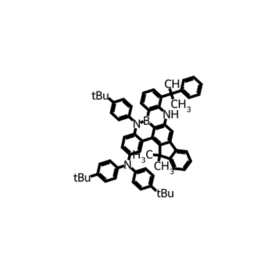 CC(C)(C)c1ccc(N2B3c4cccc(C(C)(C)c5ccccc5)c4Nc4cc5c(c(c43)-c3cc(N(c4ccc(C(C)(C)C)cc4)c4ccc(C(C)(C)C)cc4)ccc32)C(C)(C)c2ccccc2-5)cc1